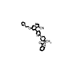 CC1(NC(=O)c2ccccc2)CCN(c2ccc(C3=CC(OCCN4CCCC4)=CN4N=CC(C#N)C34)cn2)CC1